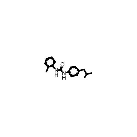 Cc1ccccc1NC(=O)Nc1ccc(CC(C)C)cc1